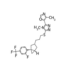 Cc1ncoc1-c1nnc(SCCCC2C[C@@H]3C[C@]3(c3ccc(C(F)(F)F)cc3F)C2)n1C